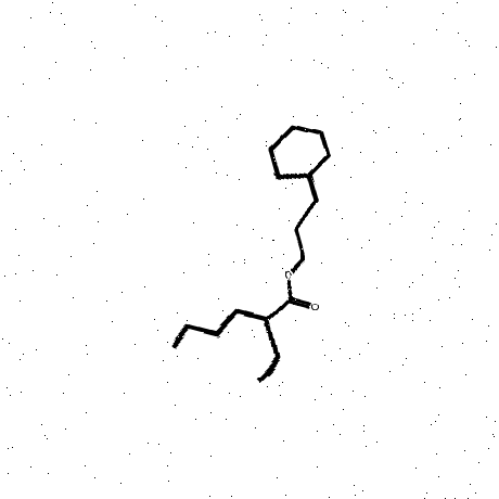 CCCCC(CC)C(=O)OCCCC1CCCCC1